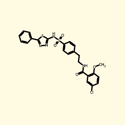 COc1ccc(Cl)cc1C(=O)NCCc1ccc(S(=O)(=O)Nc2nnc(-c3ccccc3)s2)cc1